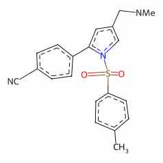 CNCc1cc(-c2ccc(C#N)cc2)n(S(=O)(=O)c2ccc(C)cc2)c1